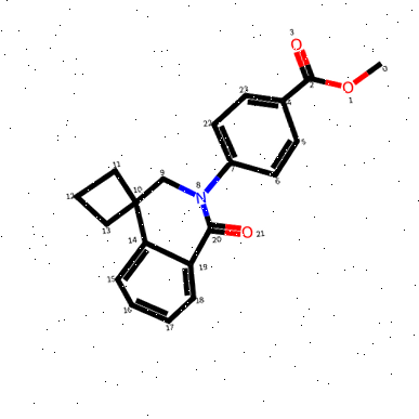 COC(=O)c1ccc(N2CC3(CCC3)c3ccccc3C2=O)cc1